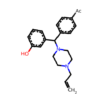 C=CCN1CCN(C(c2ccc(C(C)=O)cc2)c2cccc(O)c2)CC1